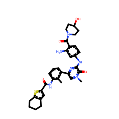 Cc1c(NC(=O)c2cc3c(s2)CCCC3)cccc1-c1cn(C)c(=O)c(Nc2ccc(C(=O)N3CCC(O)CC3)c(N)c2)n1